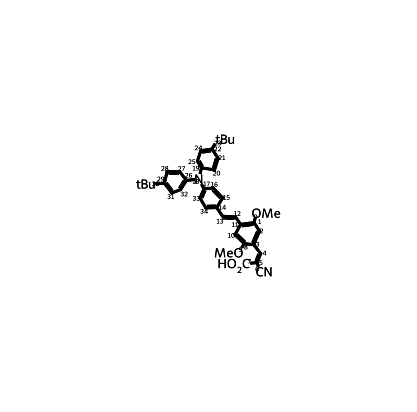 COc1cc(C=C(C#N)C(=O)O)c(OC)cc1C=Cc1ccc(N(c2ccc(C(C)(C)C)cc2)c2ccc(C(C)(C)C)cc2)cc1